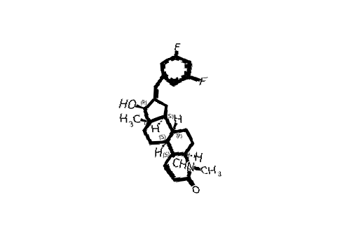 CN1C(=O)C=C[C@]2(C)[C@H]3CC[C@]4(C)[C@@H](O)C(=Cc5cc(F)cc(F)c5)C[C@H]4[C@@H]3CC[C@@H]12